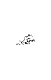 CCNc1nc(NN)nc2c1ncn2[C@@H]1O[C@H](CO)[C@@H](O)[C@H]1O